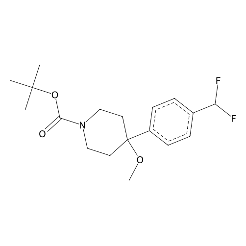 COC1(c2ccc(C(F)F)cc2)CCN(C(=O)OC(C)(C)C)CC1